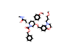 CNC(=O)CC[C@@H]1C[C@H](c2ccc(OC)cc2)[C@@H](OCc2ccc3c(c2)N(CCCOC)CCO3)CN1C(=O)OCc1ccccc1